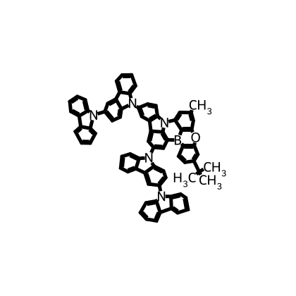 Cc1cc2c3c(c1)-n1c4ccc(-n5c6ccccc6c6cc(-n7c8ccccc8c8ccccc87)ccc65)cc4c4cc(-n5c6ccccc6c6cc(-n7c8ccccc8c8ccccc87)ccc65)cc(c41)B3c1ccc(C(C)(C)C)cc1O2